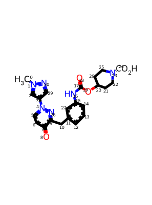 Cn1cc(-n2ccc(=O)c(Cc3cccc(NC(=O)OC4CCN(C(=O)O)CC4)c3)n2)cn1